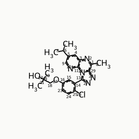 Cc1nc2cc(C(C)C)cnc2n2c(-c3cc(OCC(C)(C)O)ccc3Cl)nnc12